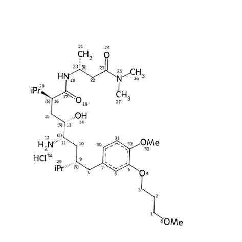 COCCCOc1cc(C[C@@H](C[C@H](N)[C@@H](O)C[C@H](C(=O)N[C@H](C)CC(=O)N(C)C)C(C)C)C(C)C)ccc1OC.Cl